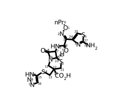 CCCON=C(C(=O)NC1C(=O)N2CC(CSc3cnn[nH]3)(C(=O)O)CS[C@H]12)c1csc(N)n1